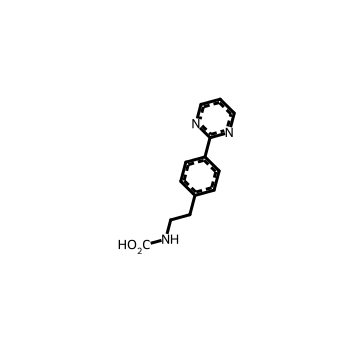 O=C(O)NCCc1ccc(-c2ncccn2)cc1